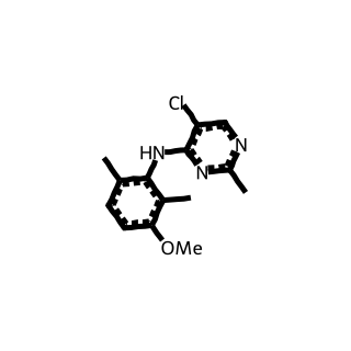 COc1ccc(C)c(Nc2nc(C)ncc2Cl)c1C